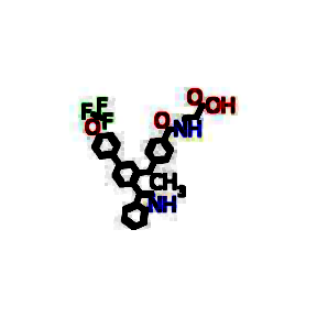 CC(c1ccc(C(=O)NCCC(=O)O)cc1)c1cc(-c2ccc(OC(F)(F)F)cc2)ccc1-c1c[nH]c2ccccc12